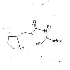 CCCCCCC(CCC)N(CC)C(=O)NC[C@H]1CCCN1